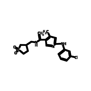 C=C(NCC1CCS(=O)(=O)C1)c1cnc(Nc2cccc(Cl)c2)cc1C(F)(F)F